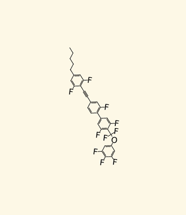 CCCCCc1cc(F)c(C#Cc2ccc(-c3cc(F)c(C(F)(F)Oc4cc(F)c(F)c(F)c4)c(F)c3)c(F)c2)c(F)c1